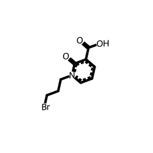 O=C(O)c1cccn(CCCBr)c1=O